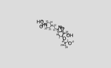 COCC1(COc2ccc3c(CCC4CCN(C(=O)O)CC4)noc3c2CO)CC1